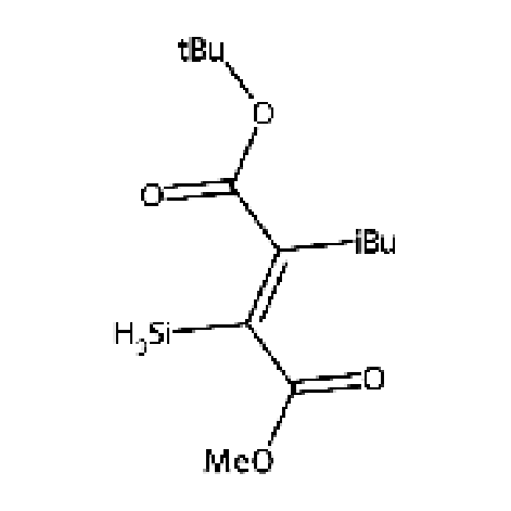 CCC(C)/C(C(=O)OC(C)(C)C)=C(/[SiH3])C(=O)OC